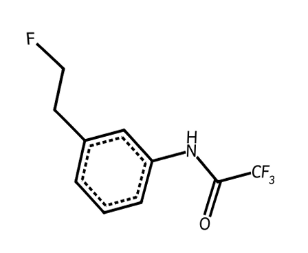 O=C(Nc1cccc(CCF)c1)C(F)(F)F